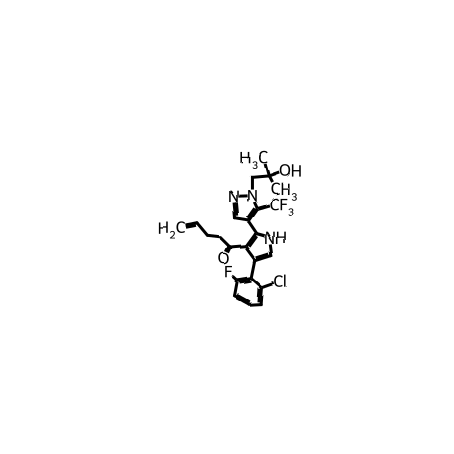 C=CCCC(=O)c1c(-c2c(F)cccc2Cl)c[nH]c1-c1cnn(CC(C)(C)O)c1C(F)(F)F